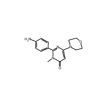 Cn1c(-c2ccc(N)cc2)nc(N2CCOCC2)cc1=O